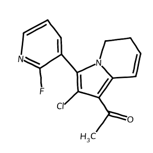 CC(=O)c1c(Cl)c(-c2cccnc2F)n2c1C=CCC2